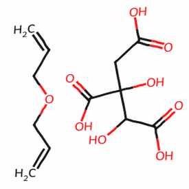 C=CCOCC=C.O=C(O)CC(O)(C(=O)O)C(O)C(=O)O